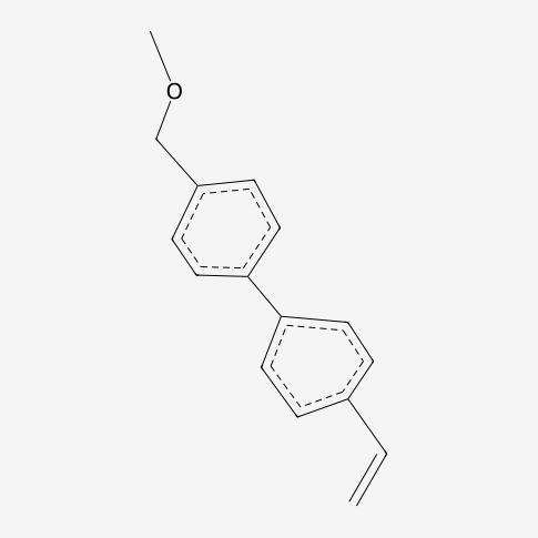 C=Cc1ccc(-c2ccc(COC)cc2)cc1